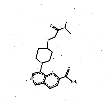 CN(C)C(=O)COC1CCN(c2cncc3ccc(C(N)=O)nc23)CC1